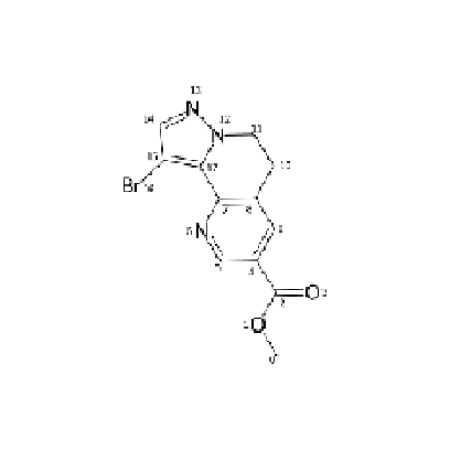 COC(=O)c1cnc2c(c1)CCn1ncc(Br)c1-2